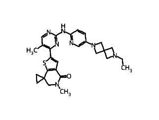 CCN1CC2(C1)CN(c1ccc(Nc3ncc(C)c(-c4cc5c(s4)C4(CC4)CN(C)C5=O)n3)nc1)C2